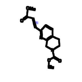 COC(=O)/C=C/c1ccc2c(n1)CN(C(=O)OC(C)(C)C)CC2